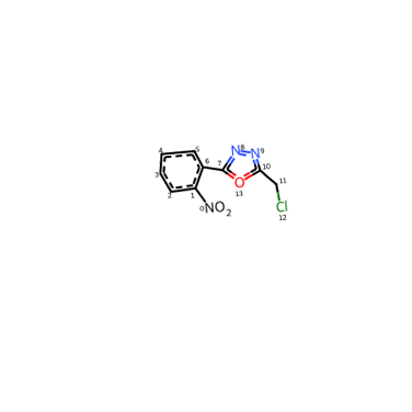 O=[N+]([O-])c1ccccc1-c1nnc(CCl)o1